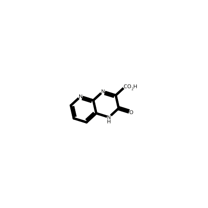 O=C(O)c1nc2ncccc2[nH]c1=O